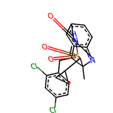 CC12N=c3ccc(cc3=C1Cc1ccc(Cl)cc1Cl)C(=O)NS(=O)(=O)C2C1CC1